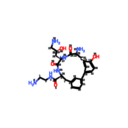 NCCNC(=O)[C@@H]1Cc2cccc(c2)-c2ccc(O)c(c2)C[C@H](N)C(=O)N[C@@H](C[C@@H](O)CN)C(=O)N1